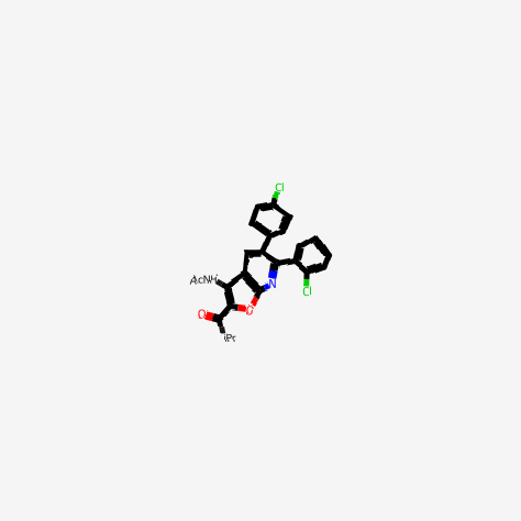 CC(=O)Nc1c(C(=O)C(C)C)oc2nc(-c3ccccc3Cl)c(-c3ccc(Cl)cc3)cc12